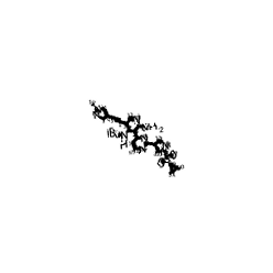 CCC(C)Nc1c(C#Cc2cnn(C)c2)cnc(N)c1-c1ccnc(-c2cnn(S(=O)(=O)C3CC3)c2)n1